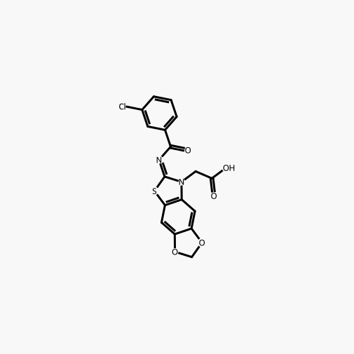 O=C(O)Cn1c(=NC(=O)c2cccc(Cl)c2)sc2cc3c(cc21)OCO3